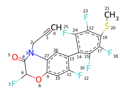 C#CCN1C(=O)C(F)Oc2cc(F)c(-c3c(F)c(F)c(SC)c(F)c3F)cc21